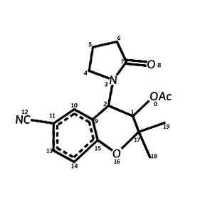 CC(=O)OC1C(N2CCCC2=O)c2cc(C#N)ccc2OC1(C)C